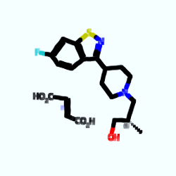 C[C@H](CO)CN1CCC(c2nsc3cc(F)ccc23)CC1.O=C(O)/C=C/C(=O)O